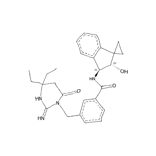 CCC1(CC)CC(=O)N(Cc2cccc(C(=O)N[C@H]3c4ccccc4C4(CC4)[C@@H]3O)c2)C(=N)N1